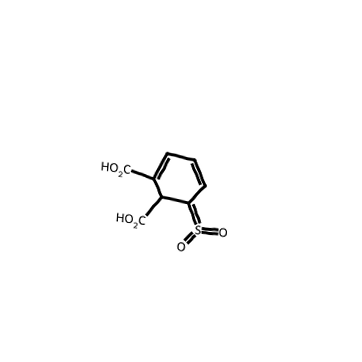 O=C(O)C1=CC=CC(=S(=O)=O)C1C(=O)O